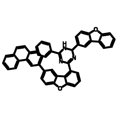 c1ccc(C2=NC(c3cccc4oc5ccc(-c6ccc7ccc8ccccc8c7c6)cc5c34)=NC(c3ccc4oc5ccccc5c4c3)N2)cc1